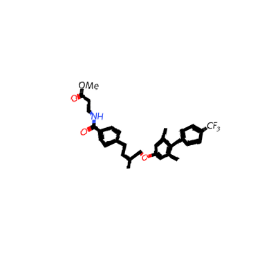 COC(=O)CCNC(=O)c1ccc(CCC(C)COc2cc(C)c(-c3ccc(C(F)(F)F)cc3)c(C)c2)cc1